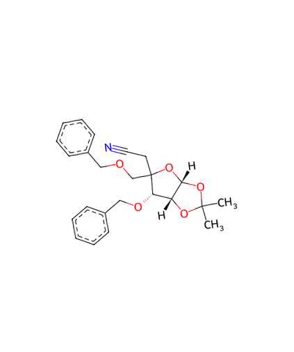 CC1(C)O[C@H]2OC(CC#N)(COCc3ccccc3)[C@@H](OCc3ccccc3)[C@H]2O1